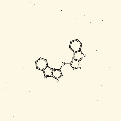 c1ccc2c(c1)nc1scc(Oc3csc4nc5ccccc5n34)n12